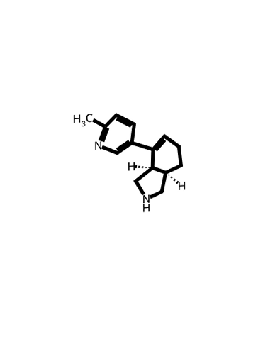 Cc1ccc(C2=CCC[C@H]3CNC[C@@H]23)cn1